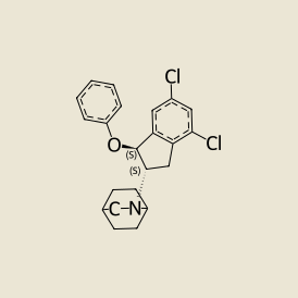 Clc1cc(Cl)c2c(c1)[C@H](Oc1ccccc1)[C@@H](N1CC3CCC1CC3)C2